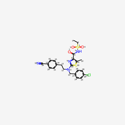 CCS(=O)(=O)NC(=O)c1nc(N(CCc2ccc(C#N)cc2)Cc2ccc(Cl)cc2)sc1C